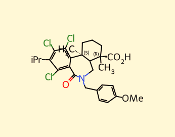 COc1ccc(CN2CC3[C@](C)(C(=O)O)CCC[C@]3(C)c3c(Cl)c(Cl)c(C(C)C)c(Cl)c3C2=O)cc1